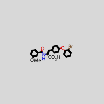 COc1cccc(C(=O)NC(=Cc2ccc(Oc3ccccc3Br)cc2)C(=O)O)c1